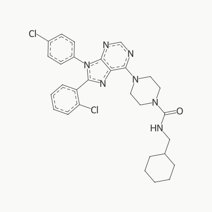 O=C(NCC1CCCCC1)N1CCN(c2ncnc3c2nc(-c2ccccc2Cl)n3-c2ccc(Cl)cc2)CC1